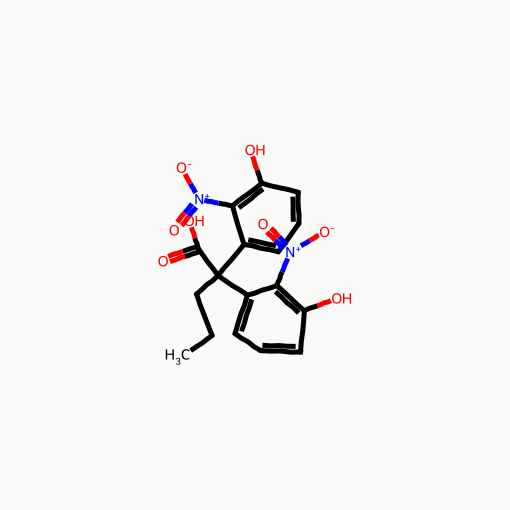 CCCC(C(=O)O)(c1cccc(O)c1[N+](=O)[O-])c1cccc(O)c1[N+](=O)[O-]